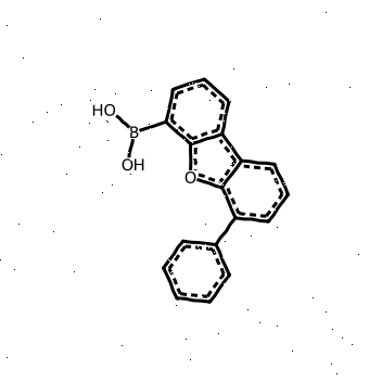 OB(O)c1cccc2c1oc1c(-c3ccccc3)cccc12